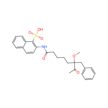 COC(CCCCC(=O)Nc1ccc2ccccc2c1S(=O)(=O)O)(Cc1ccccc1)C(C)=O